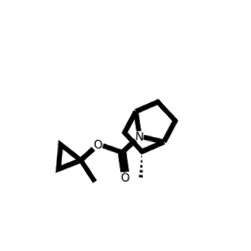 C[C@@H]1CC2CCC1N2C(=O)OC1(C)CC1